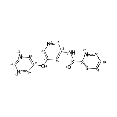 O=C(Nc1cncc(Oc2cncnc2)c1)c1ccccn1